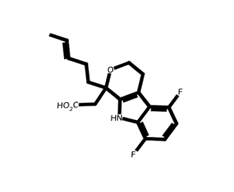 C/C=C/CCC1(CC(=O)O)OCCc2c1[nH]c1c(F)ccc(F)c21